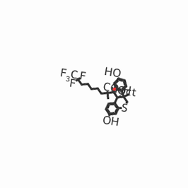 CCCCCCCCC(C1c2ccc(O)cc2SCC1(C)c1ccc(O)cc1)C(C)(CCCCCC(F)(F)C(F)(F)F)C(=O)O